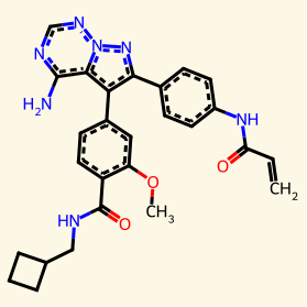 C=CC(=O)Nc1ccc(-c2nn3ncnc(N)c3c2-c2ccc(C(=O)NCC3CCC3)c(OC)c2)cc1